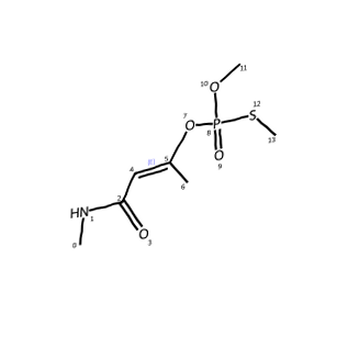 CNC(=O)/C=C(\C)OP(=O)(OC)SC